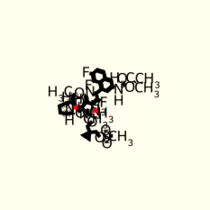 C[C@@H]1Oc2nc(-c3cc(NC(=O)OC(C)(C)C)cc4ccc(F)c(F)c34)c(F)c3nc(OCC4(COS(C)(=O)=O)CC4)nc(c23)N2C[C@H]3CC[C@@H]([C@@H]12)N3C(=O)OC(C)(C)C